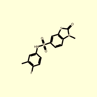 Cc1cc(NS(=O)(=O)c2ccc3c(c2)sc(=O)n3C)ccc1F